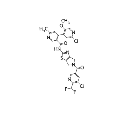 COc1cnc(Cl)cc1-c1cc(C)ncc1C(=O)Nc1nc2c(s1)CN(C(=O)c1cnc(C(F)F)c(Cl)c1)C2